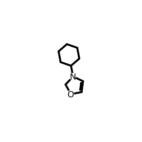 C1=CN(C2CCCCC2)CO1